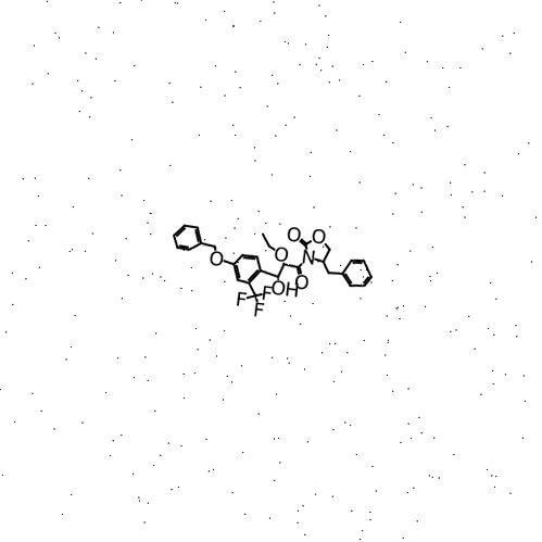 CCO[C@H](C(=O)N1C(=O)OCC1Cc1ccccc1)[C@H](O)c1ccc(OCc2ccccc2)cc1C(F)(F)F